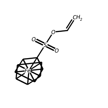 C=COS(=O)(=O)[C]12[CH]3[CH]4[CH]5[CH]1[Fe]45321678[CH]2[CH]1[CH]6[CH]7[CH]28